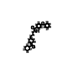 O=C(NCCCN1CCN(C(=O)C2CCCCC2)CC1)c1ccc(Oc2ccccc2)cc1